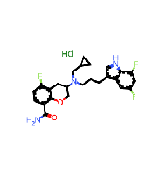 Cl.NC(=O)c1ccc(F)c2c1OCC(N(CCCc1c[nH]c3c(F)cc(F)cc13)CC1CC1)C2